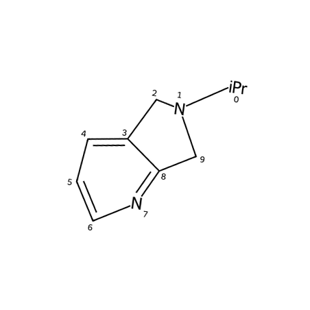 CC(C)N1Cc2cccnc2C1